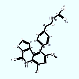 COc1cc(Cl)c2[nH]c(=O)c3sccc3c2c1-c1ccc(CCNC(=O)O)cc1